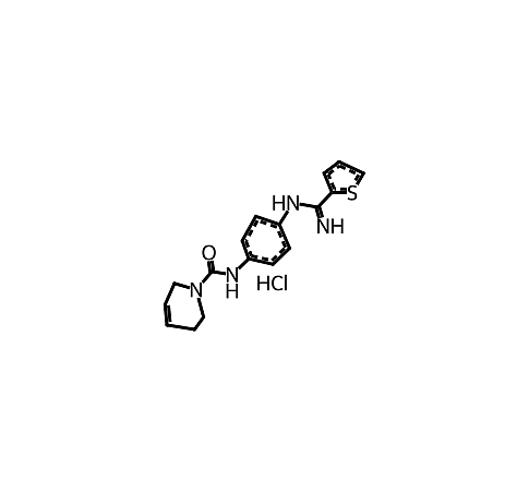 Cl.N=C(Nc1ccc(NC(=O)N2CC=CCC2)cc1)c1cccs1